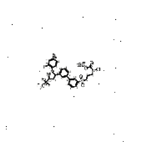 CN(CCCS(=O)(=O)c1cccc(-c2cccc(C3CC(C(F)(F)C(F)(F)F)=NN3c3ccc(F)cc3F)c2)c1)C(=O)OC(C)(C)C